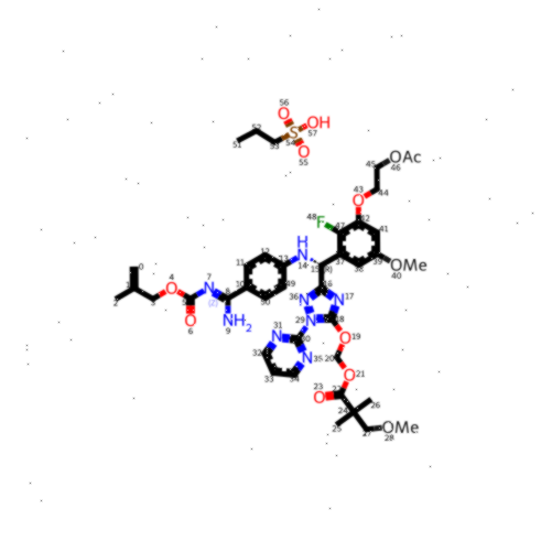 C=C(C)COC(=O)/N=C(\N)c1ccc(N[C@@H](c2nc(OCOC(=O)C(C)(C)COC)n(-c3ncccn3)n2)c2cc(OC)cc(OCCOC(C)=O)c2F)cc1.CCCS(=O)(=O)O